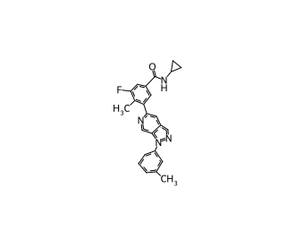 Cc1cccc(-n2ncc3cc(-c4cc(C(=O)NC5CC5)cc(F)c4C)ncc32)c1